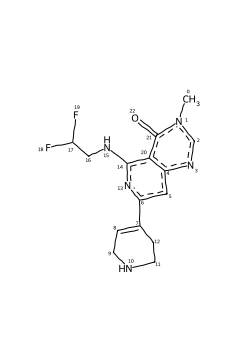 Cn1cnc2cc(C3=CCNCC3)nc(NCC(F)F)c2c1=O